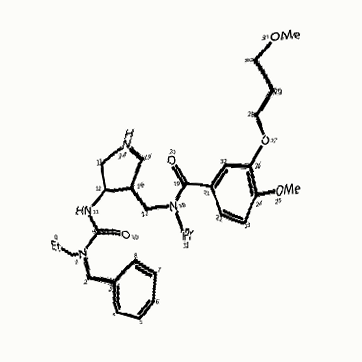 CCN(Cc1ccccc1)C(=O)NC1CNCC1CN(C(=O)c1ccc(OC)c(OCCCOC)c1)C(C)C